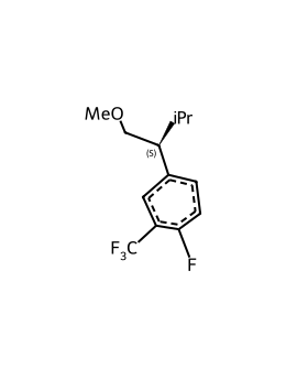 COC[C@H](c1ccc(F)c(C(F)(F)F)c1)C(C)C